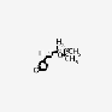 COC(C)OC(C)[SiH2]CCC1CCC2OC2C1